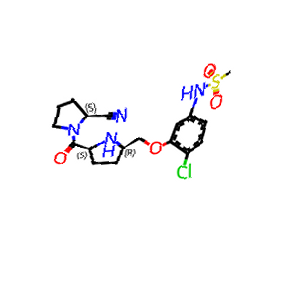 CS(=O)(=O)Nc1ccc(Cl)c(OC[C@H]2CC[C@@H](C(=O)N3CCC[C@H]3C#N)N2)c1